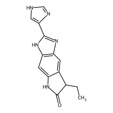 CCC1C(=O)Nc2cc3[nH]c(-c4c[nH]cn4)nc3cc21